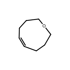 C1=CCCCOCCC1